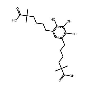 CC(C)(CCCCc1cc(CCCCC(C)(C)C(=O)O)c(O)c(O)c1O)C(=O)O